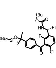 CC[C@@H](NC(=O)OC(C)(C)C)c1ccc(Cl)c(C(=O)c2ccc(C(C)(C)O[SiH2]C(C)(C)C)cc2)c1F